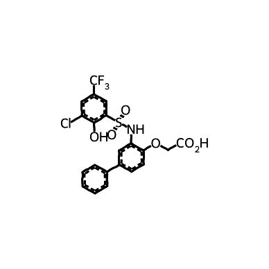 O=C(O)COc1ccc(-c2ccccc2)cc1NS(=O)(=O)c1cc(C(F)(F)F)cc(Cl)c1O